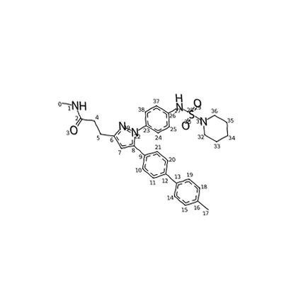 CNC(=O)CCc1cc(-c2ccc(-c3ccc(C)cc3)cc2)n(-c2ccc(NS(=O)(=O)N3CCCCC3)cc2)n1